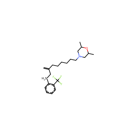 C=C(CCCCCCN1CC(C)OC(C)C1)C[SiH2]c1ccccc1C(F)(F)F